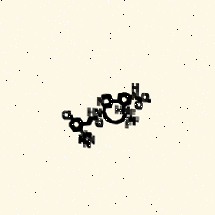 COC(=O)Nc1ccc2c(c1)N[C@H](C(F)(F)F)CCCCC(NC(=O)/C=C/c1cc(Cl)ccc1-n1cnnn1)c1cc-2ccn1